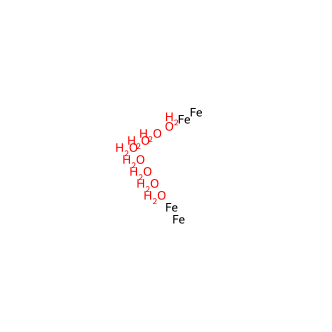 O.O.O.O.O.O.O.O.[Fe].[Fe].[Fe].[Fe]